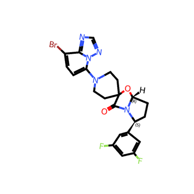 O=C1N2[C@@H](CC[C@H]2c2cc(F)cc(F)c2)OC12CCN(c1ccc(Br)c3ncnn13)CC2